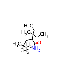 CCC(C)(CC)C(CC(C)(C)C)C(N)=O